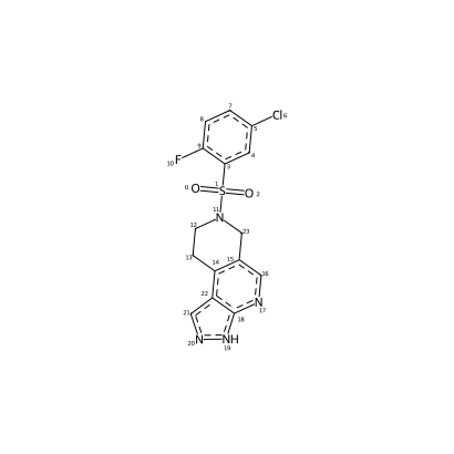 O=S(=O)(c1cc(Cl)ccc1F)N1CCc2c(cnc3[nH]ncc23)C1